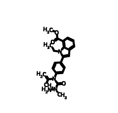 C=C(C)N(C(=O)N(C)N)c1ccc(-c2cc3cccc(C(=O)OC)c3n2CC)cc1